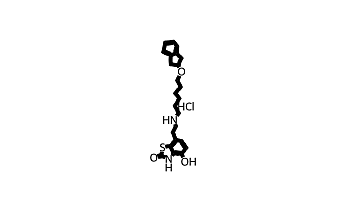 Cl.O=c1[nH]c2c(O)ccc(CCNCCCCCCOC3Cc4ccccc4C3)c2s1